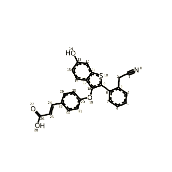 N#CCc1ccccc1-c1sc2cc(O)ccc2c1Oc1ccc(C=CC(=O)O)cc1